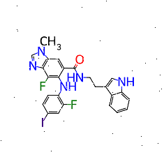 Cn1cnc2c(F)c(Nc3ccc(I)cc3F)c(C(=O)NCCc3c[nH]c4ccccc34)cc21